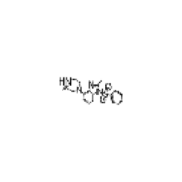 Cc1nc2c(N3CCN[C@H](C)C3)cccc2n1S(=O)(=O)c1ccccc1